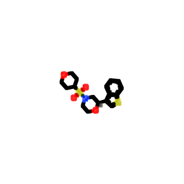 O=S(=O)(C1CCOCC1)N1CCO[C@H](c2csc3ccccc23)C1